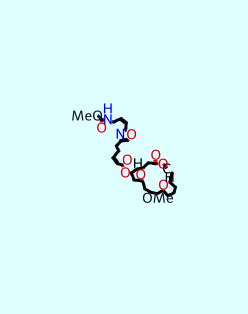 COC(=O)NC/C=C\c1nc(CC/C=C\C(=O)O[C@@H]2CC3C[C@H](OC)CC4CCC[C@@H](CCOC(=O)C[C@H](C2)O3)O4)co1